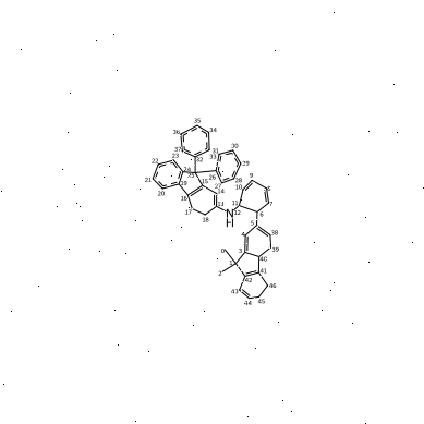 CC1(C)C2=CC(C3C=CC=CC3NC3=CC4=C(CC3)c3ccccc3C4(c3ccccc3)c3ccccc3)=CCC2C2=C1C=CCC2